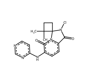 CC1(C)CCC12N(Cl)C(=O)c1ccc(Nc3ccncn3)c(=O)n12